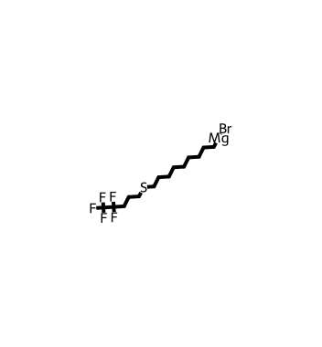 FC(F)(F)C(F)(F)CCCSCCCCCCCC[CH2][Mg][Br]